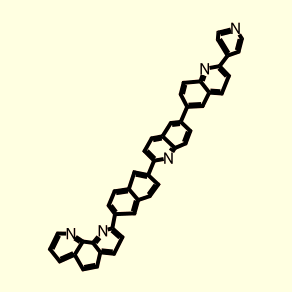 c1cnc2c(c1)ccc1ccc(-c3ccc4cc(-c5ccc6cc(-c7ccc8nc(-c9ccncc9)ccc8c7)ccc6n5)ccc4c3)nc12